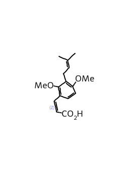 COc1ccc(/C=C\C(=O)O)c(OC)c1CC=C(C)C